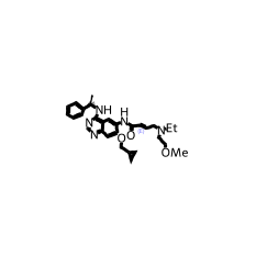 CCN(C/C=C/C(=O)Nc1cc2c(N[C@H](C)c3ccccc3)ncnc2cc1OCC1CC1)CCOC